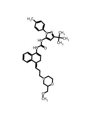 COCC1CN(CCC=C2CC=C(NC(=O)Nc3cc(C(C)(C)C)nn3-c3ccc(C)cc3)c3ccccc32)CCO1